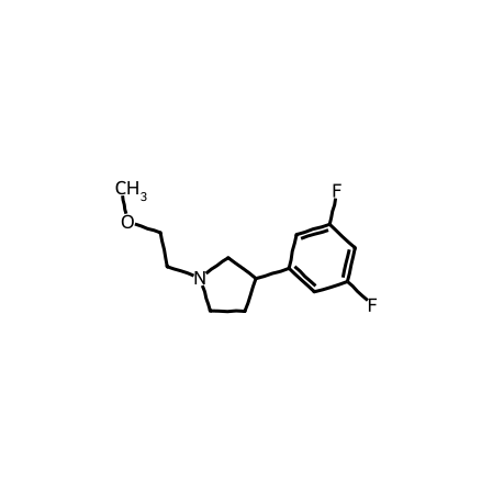 COCCN1CCC(c2cc(F)cc(F)c2)C1